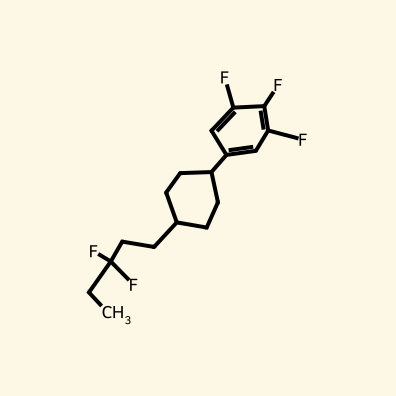 CCC(F)(F)CCC1CCC(c2cc(F)c(F)c(F)c2)CC1